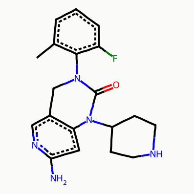 Cc1cccc(F)c1N1Cc2cnc(N)cc2N(C2CCNCC2)C1=O